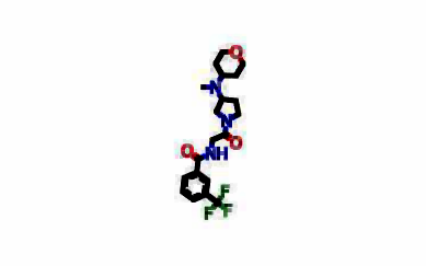 CN(C1CCOCC1)C1CCN(C(=O)CNC(=O)c2cccc(C(F)(F)F)c2)C1